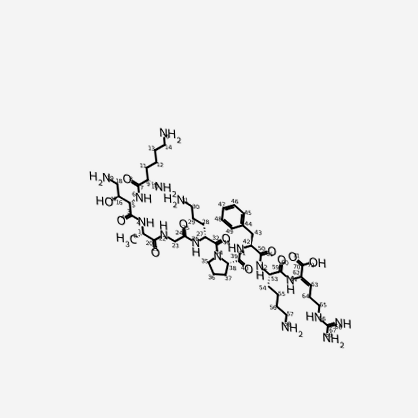 C[C@H](NC(=O)[C@@H](NC(=O)[C@@H](N)CCCCN)[C@@H](O)CN)C(=O)NCC(=O)N[C@H](CCCN)C(=O)N1CCC[C@H]1C(=O)N[C@@H](Cc1ccccc1)C(=O)N[C@@H](CCCCN)C(=O)N/C(=C\CCNC(=N)N)C(=O)O